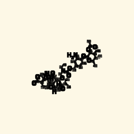 CCN(CO[C@H]1C2[C@H]3O[C@H]3[C@H]3C4=C(CC[C@]3(C)[C@@]23O[C@H]3[C@@H]2O[C@]12C(C)C)C(=O)OC4)C(=O)OCc1ccc(O[C@@H]2OC(C)[C@@H](C)[C@H](C)C2OC(C)=O)c(N)c1